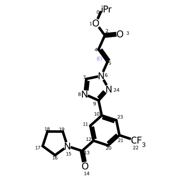 CC(C)OC(=O)/C=C/n1cnc(-c2cc(C(=O)N3CCCC3)cc(C(F)(F)F)c2)n1